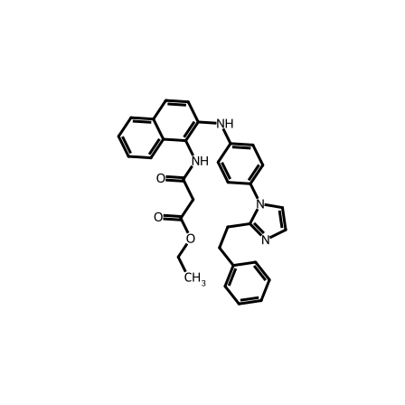 CCOC(=O)CC(=O)Nc1c(Nc2ccc(-n3ccnc3CCc3ccccc3)cc2)ccc2ccccc12